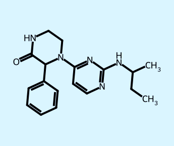 CCC(C)Nc1nccc(N2CCNC(=O)C2c2ccccc2)n1